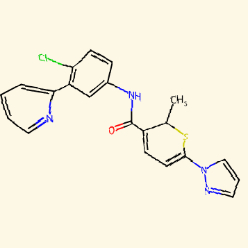 CC1SC(n2cccn2)=CC=C1C(=O)Nc1ccc(Cl)c(-c2ccccn2)c1